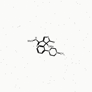 CONC(=O)C1=CSC(Br)C1(OC)c1ccccc1N1CCN(C)CC1